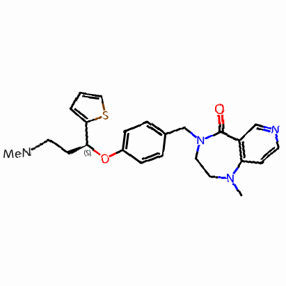 CNCC[C@H](Oc1ccc(CN2CCN(C)c3ccncc3C2=O)cc1)c1cccs1